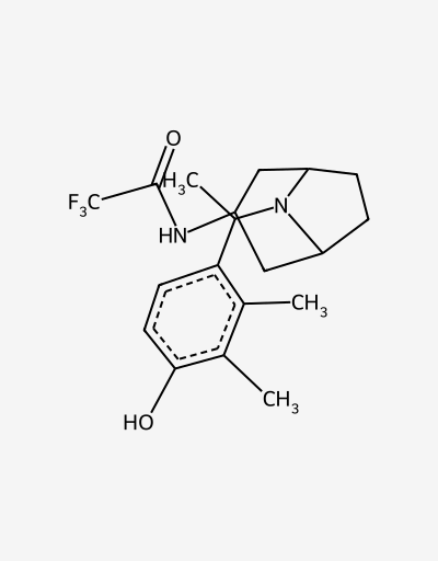 Cc1c(O)ccc(C(C)N2C3CCC2CC(NC(=O)C(F)(F)F)C3)c1C